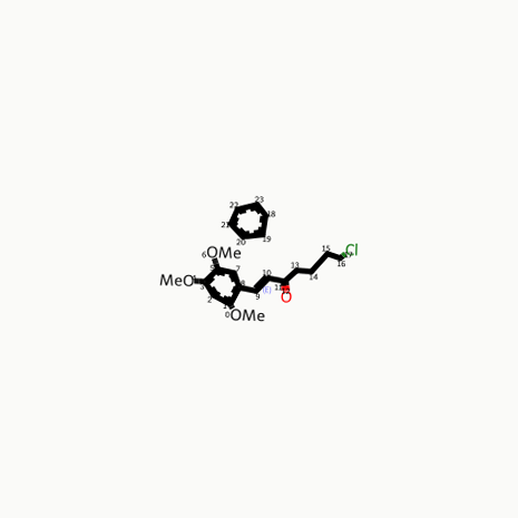 COc1cc(OC)c(OC)cc1/C=C/C(=O)CCCCCl.c1ccccc1